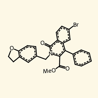 COC(=O)c1c(-c2ccccc2)c2cc(Br)ccc2c(=O)n1Cc1ccc2c(c1)CCO2